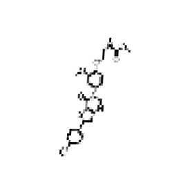 COC(=O)N(C)CCOc1ccc(-n2cnc3cc(-c4ccc(Cl)cc4)sc3c2=O)cc1OC